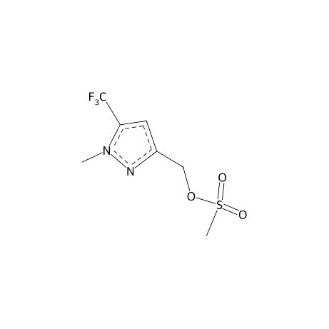 Cn1nc(COS(C)(=O)=O)cc1C(F)(F)F